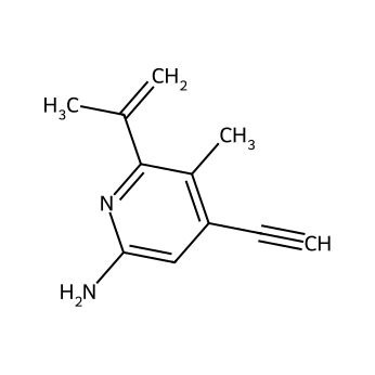 C#Cc1cc(N)nc(C(=C)C)c1C